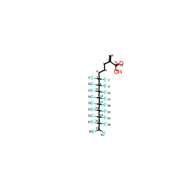 C=C(CCCC(F)(F)C(F)(F)C(F)(F)C(F)(F)C(F)(F)C(F)(F)C(F)(F)C(F)(F)C(F)F)C(=O)O